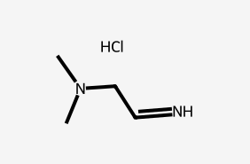 CN(C)CC=N.Cl